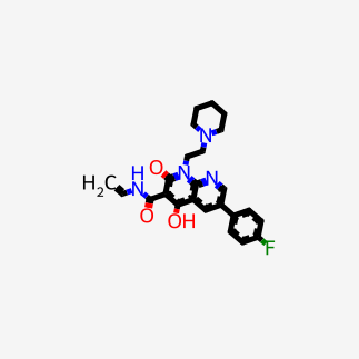 C=CNC(=O)c1c(O)c2cc(-c3ccc(F)cc3)cnc2n(CCN2CCCCC2)c1=O